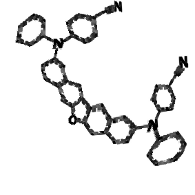 N#Cc1ccc(N(c2ccccc2)c2ccc3cc4oc5cc6ccc(N(c7ccccc7)c7ccc(C#N)cc7)cc6cc5c4cc3c2)cc1